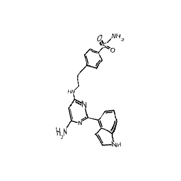 Nc1cc(NCCc2ccc(S(N)(=O)=O)cc2)nc(-c2cccc3[nH]ccc23)n1